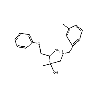 Cc1cccc(CNCC(C)(O)C(N)COc2ccccc2)c1